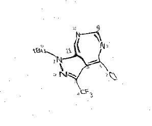 CC(C)(C)n1nc(C(F)(F)F)c2c(Cl)ncnc21